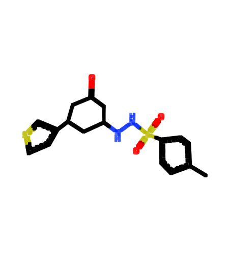 Cc1ccc(S(=O)(=O)NNC2CC(=O)CC(c3ccsc3)C2)cc1